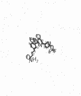 NC(=O)CCCc1ccc(Cl)c(-c2nc(-c3ccc(OC(F)F)nc3)cc(=O)[nH]2)c1